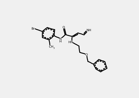 Cc1cc(Br)ccc1NC(=O)/C(=C/C=N)NCCOCc1ccccc1